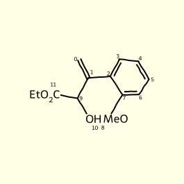 C=C(c1ccccc1OC)C(O)C(=O)OCC